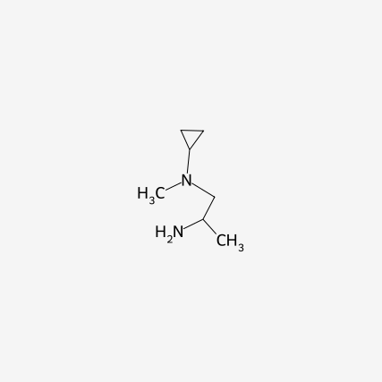 CC(N)CN(C)C1CC1